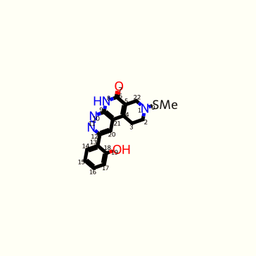 CSN1CCc2c(c(=O)[nH]c3nnc(-c4ccccc4O)cc23)C1